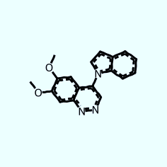 COc1cc2nncc(-n3ccc4ccccc43)c2cc1OC